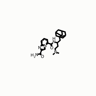 CN(C)CCC(CC12CC3CC(CC(C3)C1)C2)NC(=O)c1cccc2nc(C(N)=O)cn12